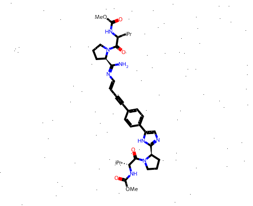 COC(=O)NC(C(=O)N1CCC[C@@H]1/C(N)=N/C=C/C#Cc1ccc(-c2cnc([C@H]3CCCN3C(=O)[C@H](NC(=O)OC)C(C)C)[nH]2)cc1)C(C)C